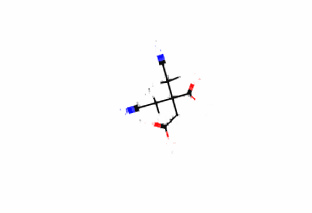 CC(C)(C#N)C(CC(=O)O)(C(=O)O)C(C)(C)C#N